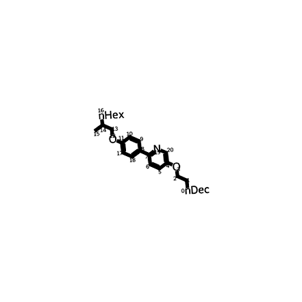 CCCCCCCCCCCCOc1ccc(-c2ccc(OCC(C)CCCCCC)cc2)nc1